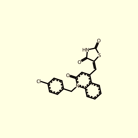 O=C1NC(=O)C(=Cc2cc(=O)n(Cc3ccc(Cl)cc3)c3ccccc23)S1